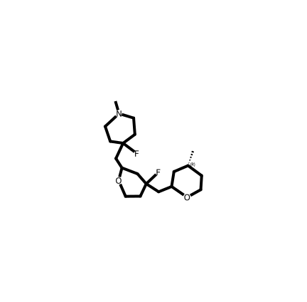 C[C@@H]1CCOC(CC2(F)CCOC(CC3(F)CCN(C)CC3)C2)C1